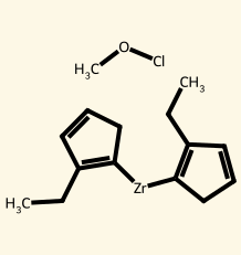 CCC1=[C]([Zr][C]2=C(CC)C=CC2)CC=C1.COCl